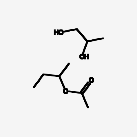 CC(O)CO.CCC(C)OC(C)=O